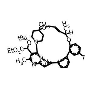 CCOC(=O)[C@@H](OC(C)(C)C)c1c(C)nc2cc3nn2c1N1CCC(C)(CC1)OC/C=C/[C@H](C)Oc1ccc(F)cc1-c1cccc-3c1